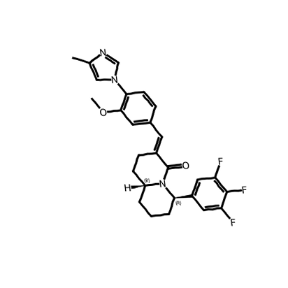 COc1cc(C=C2CC[C@H]3CCC[C@H](c4cc(F)c(F)c(F)c4)N3C2=O)ccc1-n1cnc(C)c1